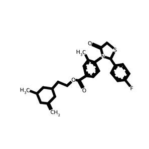 C=C1CC(C)CC(CCOC(=O)c2ccc(N3C(=O)CSC3c3ccc(F)cc3)c(C)c2)C1